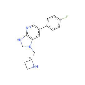 Fc1ccc(-c2cnc3c(c2)N(C[C@H]2CCN2)CN3)cc1